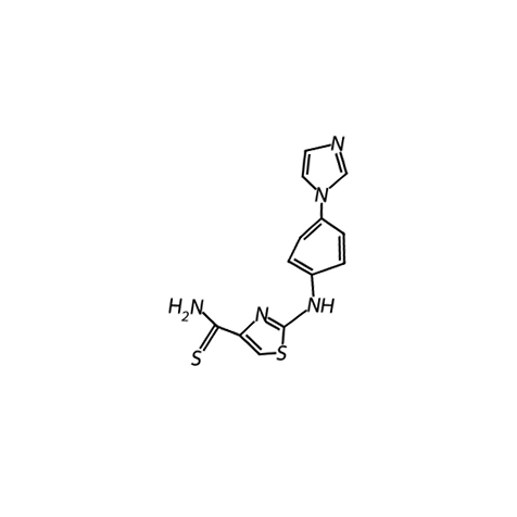 NC(=S)c1csc(Nc2ccc(-n3ccnc3)cc2)n1